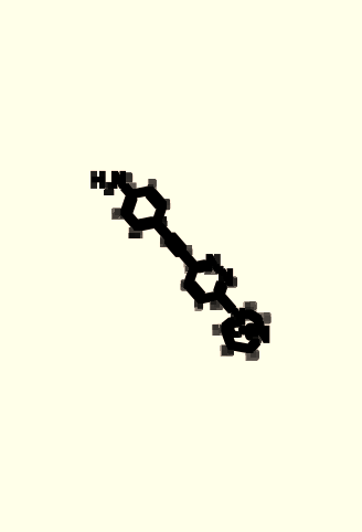 Nc1ccc(C#Cc2ccc(N3CCN4CCC3CC4)nn2)cc1